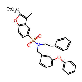 CCOC(=O)c1oc2ccc(S(=O)(=O)N(CCc3ccccc3)Cc3cccc(Oc4ccccc4)c3)cc2c1C